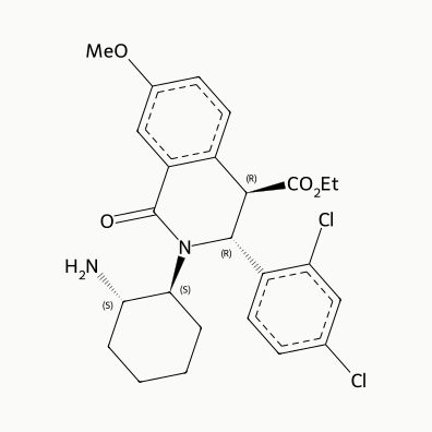 CCOC(=O)[C@@H]1c2ccc(OC)cc2C(=O)N([C@H]2CCCC[C@@H]2N)[C@H]1c1ccc(Cl)cc1Cl